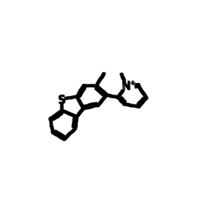 Cc1cc2sc3ccccc3c2cc1-c1cccc[n+]1C